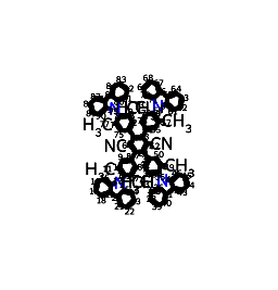 Cc1cc(-c2c(C#N)c(-c3cc(C)c(-n4c5ccccc5c5ccccc54)c(C)c3)c(-c3cc(C)c(-n4c5ccccc5c5ccccc54)c(C)c3)c(C#N)c2-c2cc(C)c(-n3c4ccccc4c4ccccc43)c(C)c2)cc(C)c1-n1c2ccccc2c2ccccc21